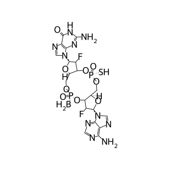 B[P@]1(=O)OC[C@H]2O[C@@H](n3cnc4c(=O)[nH]c(N)nc43)C(F)C2O[P@](=O)(S)OC[C@H]2O[C@@H](n3cnc4c(N)ncnc43)C(F)C2O1